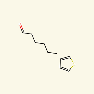 CCCCCC=O.c1ccsc1